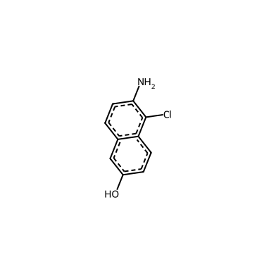 Nc1ccc2cc(O)ccc2c1Cl